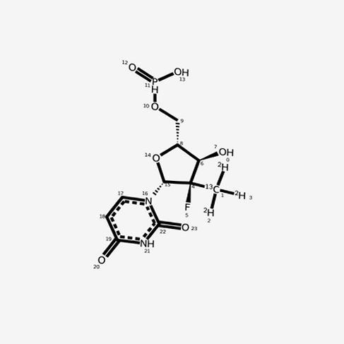 [2H][13C]([2H])([2H])[C@@]1(F)[C@H](O)[C@@H](CO[PH](=O)O)O[C@H]1n1ccc(=O)[nH]c1=O